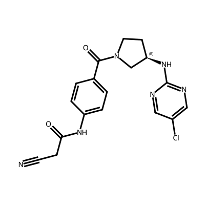 N#CCC(=O)Nc1ccc(C(=O)N2CC[C@@H](Nc3ncc(Cl)cn3)C2)cc1